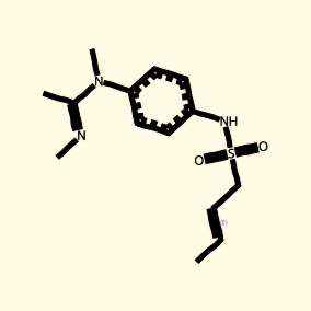 C/C=C/CS(=O)(=O)Nc1ccc(N(C)C(C)=NC)cc1